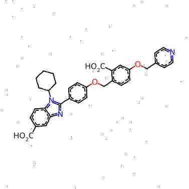 O=C(O)c1ccc2c(c1)nc(-c1ccc(OCc3ccc(OCc4ccncc4)cc3C(=O)O)cc1)n2C1CCCCC1